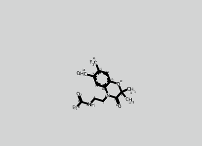 CCC(=O)NCCN1C(=O)C(C)(C)Oc2cc(C(F)(F)F)c(C=O)cc21